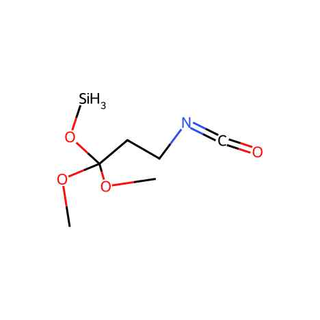 COC(CCN=C=O)(OC)O[SiH3]